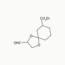 CCOC(=O)C1CCCC2(C1)OCC(C=O)O2